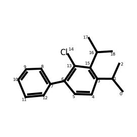 CC(C)c1ccc(-c2ccccc2)c(Cl)c1C(C)C